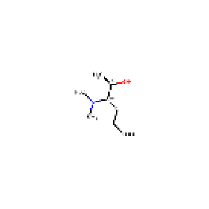 C[C@@H](O)[C@H](CCC=O)N(C)C